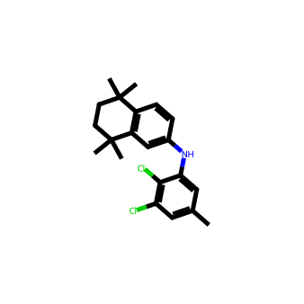 Cc1cc(Cl)c(Cl)c(Nc2ccc3c(c2)C(C)(C)CCC3(C)C)c1